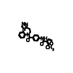 Cc1occc1C(=O)Nc1ccc(C(=O)N2CCc3nncn3-c3ccccc32)cc1